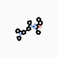 c1ccc(-c2nc(-n3c4ccccc4c4cc(-c5ccc6c(c5)c5ccccc5n6-c5ccccc5)ccc43)nc3c2oc2ccc4ccccc4c23)cc1